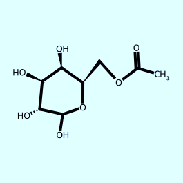 CC(=O)OC[C@H]1OC(O)[C@H](O)[C@@H](O)[C@H]1O